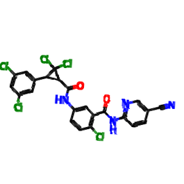 N#Cc1ccc(NC(=O)c2cc(NC(=O)C3C(c4cc(Cl)cc(Cl)c4)C3(Cl)Cl)ccc2Cl)nc1